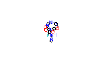 N[C@H]1CCN(C(=O)c2cn3c4c(c(NCCN5CCCC5)c(F)cc4c2=O)Oc2cc4c(cc2-3)C2=C(C=CCC2)CO4)C1